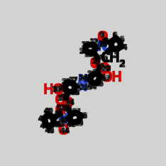 C=C1c2ccccc2C(=O)N1c1ccccc1COC(=O)c1cc(/N=N/c2ccc(O)c(C(=O)OCc3ccccc3N3C(=O)c4ccccc4C3=O)c2)ccc1O